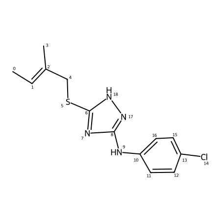 CC=C(C)CSc1nc(Nc2ccc(Cl)cc2)n[nH]1